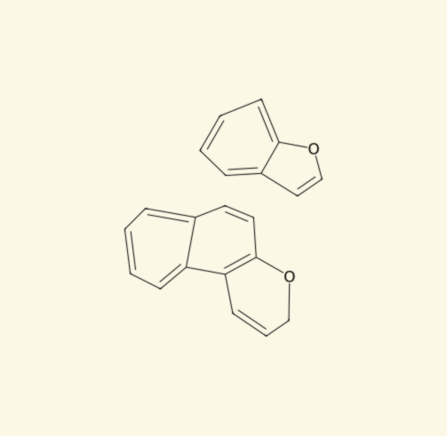 C1=Cc2c(ccc3ccccc23)OC1.c1ccc2occc2c1